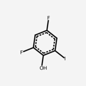 Oc1c(F)cc(F)cc1I